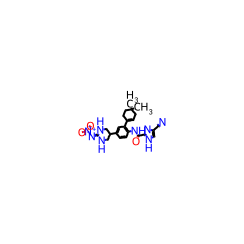 CC1(C)CC=C(c2cc(C3CNC(=N[N+](=O)[O-])NC3)ccc2NC(=O)c2nc(C#N)c[nH]2)CC1